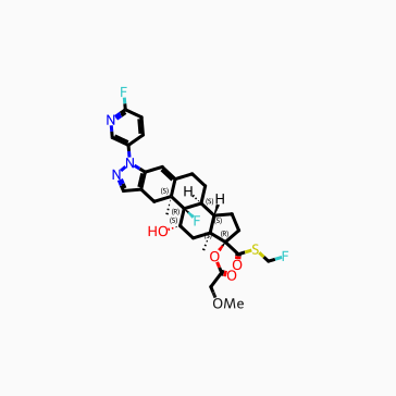 COCC(=O)O[C@]1(C(=O)SCF)CC[C@H]2[C@@H]3CCC4=Cc5c(cnn5-c5ccc(F)nc5)C[C@]4(C)[C@@]3(F)[C@@H](O)C[C@@]21C